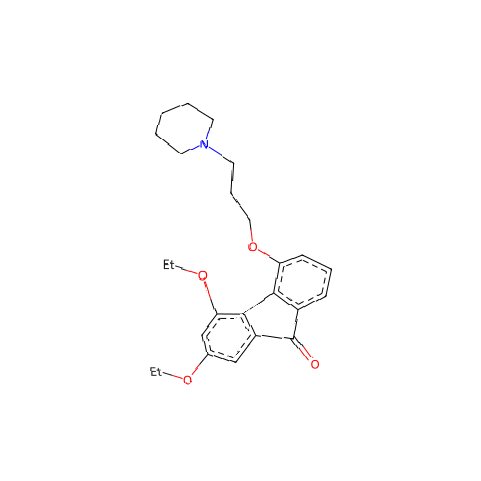 CCOc1cc(OCC)c2c(c1)C(=O)c1cccc(OCCCN3CCCCC3)c1-2